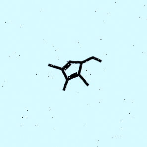 CCC1[C]=C(C)C(C)=C1C